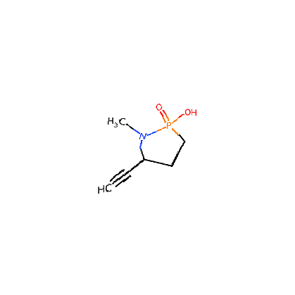 C#CC1CCP(=O)(O)N1C